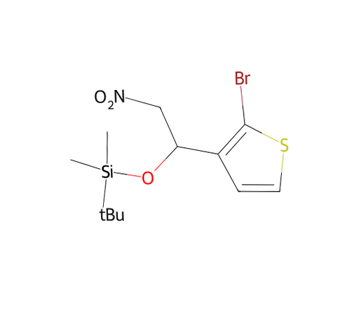 CC(C)(C)[Si](C)(C)OC(C[N+](=O)[O-])c1ccsc1Br